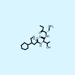 CCC(=O)[C@H](CN)NC(=O)[C@@H](NC(=O)CC(CN)C1CCCCC1)C(C)O